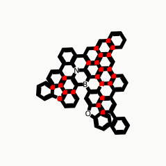 C1=CCCC(c2cccc(-c3cccc(-c4cccc(-c5ccccc5)c4)c3N3c4cc5c(cc4B4c6cc7oc8ccccc8c7cc6N(c6c(C7=CC(C8=CCCC=C8)=CCC7)cccc6-c6cccc(-c7ccccc7)c6)c6cc(-c7ccccc7)cc3c64)oc3ccccc35)c2)=C1